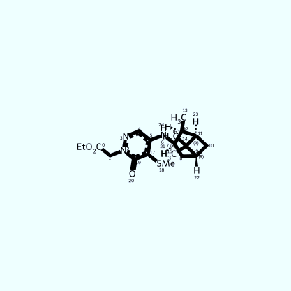 CCOC(=O)Cn1ncc(N[C@@H]2C[C@H]3C[C@H]([C@@H]2C)C3(C)C)c(SC)c1=O